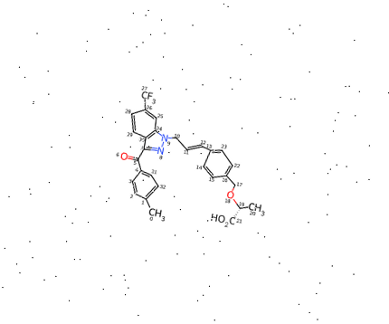 Cc1ccc(C(=O)c2nn(CC=Cc3ccc(CO[C@H](C)C(=O)O)cc3)c3cc(C(F)(F)F)ccc23)cc1